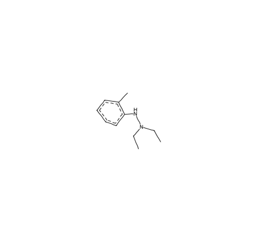 CCN(CC)Nc1ccccc1C